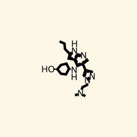 CCCc1cc2c(N[C@H]3CC[C@H](O)CC3)c(-c3cnn(CCN(C)C)c3)cnc2[nH]1